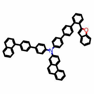 c1ccc(-c2cc3ccccc3o2)c(-c2ccc(-c3ccc(N(c4ccc(-c5ccc(-c6cccc7ccccc67)cc5)cc4)c4ccc5c(ccc6ccccc65)c4)cc3)cc2)c1